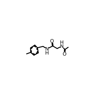 CC(=O)NCC(=O)NCc1ccc(C)cc1